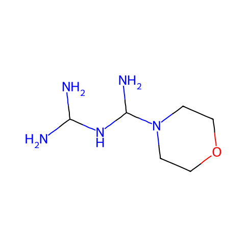 NC(N)NC(N)N1CCOCC1